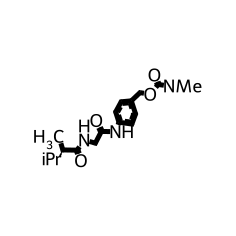 CNC(=O)OCc1ccc(NC(=O)CNC(=O)[C@@H](C)C(C)C)cc1